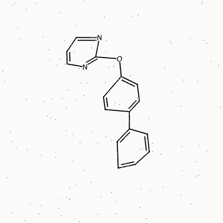 [c]1ccnc(Oc2ccc(-c3ccccc3)cc2)n1